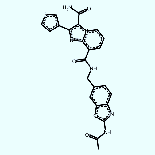 CC(=O)Nc1nc2ccc(CNC(=O)c3cccn4c(C(N)=O)c(-c5ccsc5)nc34)cc2s1